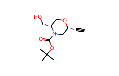 C#C[C@@H]1CN(C(=O)OC(C)(C)C)[C@H](CO)CO1